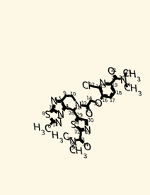 Cc1nn2c3c(nc2s1)CCN(C(=O)COc1ccc(C(=O)N(C)C)nc1Cl)C3c1cnc(C(=O)N(C)C)s1